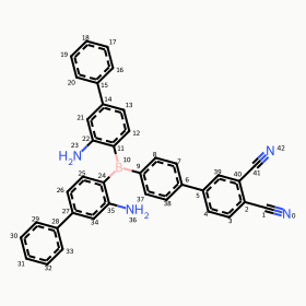 N#Cc1ccc(-c2ccc(B(c3ccc(-c4ccccc4)cc3N)c3ccc(-c4ccccc4)cc3N)cc2)cc1C#N